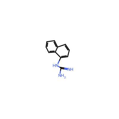 N=C(N)Nc1cccc2ccccc12